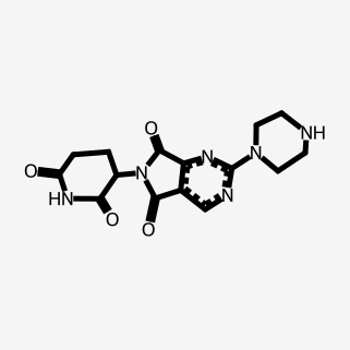 O=C1CCC(N2C(=O)c3cnc(N4CCNCC4)nc3C2=O)C(=O)N1